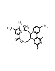 C=C1CC2C(CCOC(=O)c3cc(C)n(C)[n+]31)c1cc(F)nc(F)c1-c1cc(C)cc[n+]12